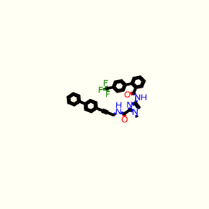 Cn1cc(NC(=O)c2ccccc2-c2ccc(C(F)(F)F)cc2)nc1C(=O)NCC#Cc1ccc(-c2ccccc2)cc1